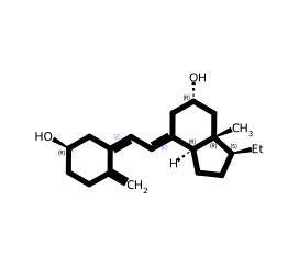 C=C1CC[C@@H](O)C/C1=C/C=C1\C[C@H](O)C[C@]2(C)[C@@H](CC)CC[C@@H]12